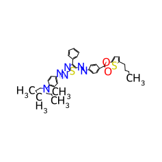 CCCCc1ccc(OC(=O)c2ccc(N=Nc3sc(/N=N/c4ccc(N(CC(C)C)CC(C)C)cc4)nc3-c3ccccc3)cc2)s1